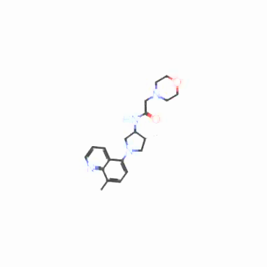 Cc1ccc(N2CC(NC(=O)CN3CCOCC3)[C@H](C)C2)c2cccnc12